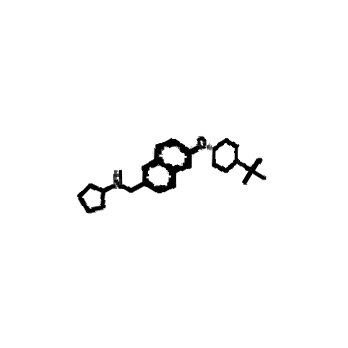 CC(C)(C)[C@H]1CC[C@H](Oc2ccc3cc(CNC4CCCC4)ccc3c2)CC1